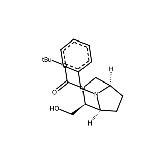 CC(C)(C)OC(=O)N1C[C@H]2CC[C@@H]([C@H]1CO)N2Cc1ccccc1